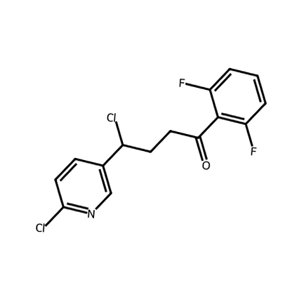 O=C(CCC(Cl)c1ccc(Cl)nc1)c1c(F)cccc1F